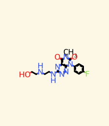 Cn1c(=O)c2nc(NCCNCCO)nnc2n(-c2ccc(F)cc2)c1=O